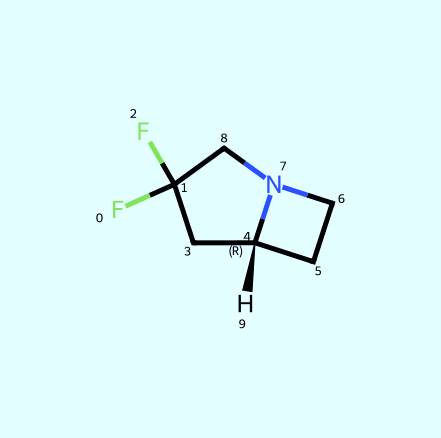 FC1(F)C[C@H]2CCN2C1